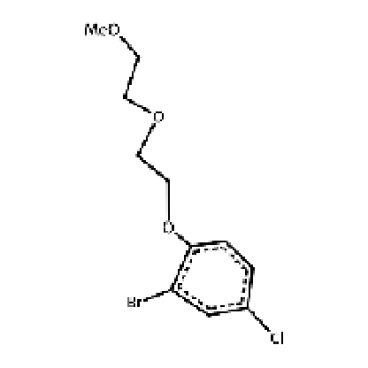 COCCOCCOc1ccc(Cl)cc1Br